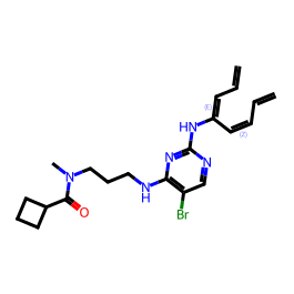 C=C/C=C\C(=C/C=C)Nc1ncc(Br)c(NCCCN(C)C(=O)C2CCC2)n1